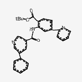 CC(C)(C)OC(=O)c1ccc(-c2ccccn2)cc1NC(=O)c1cncc(-c2ccccc2)c1